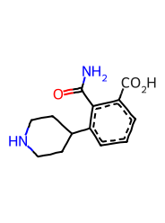 NC(=O)c1c(C(=O)O)cccc1C1CCNCC1